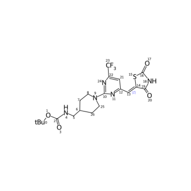 CC(C)(C)OC(=O)NCC1CCN(c2nc(/C=C3\SC(=O)NC3=O)cc(C(F)(F)F)n2)CC1